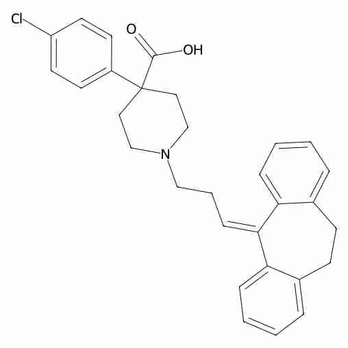 O=C(O)C1(c2ccc(Cl)cc2)CCN(CCC=C2c3ccccc3CCc3ccccc32)CC1